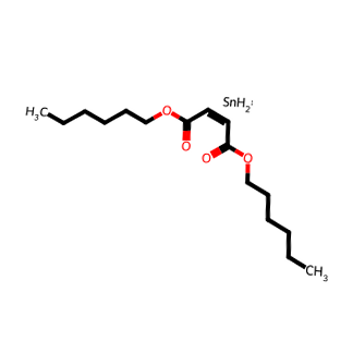 CCCCCCOC(=O)/C=C\C(=O)OCCCCCC.[SnH2]